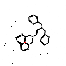 C(=CN(Cc1ccccn1)Cc1ccccn1)N(Cc1ccccn1)Cc1ccccn1